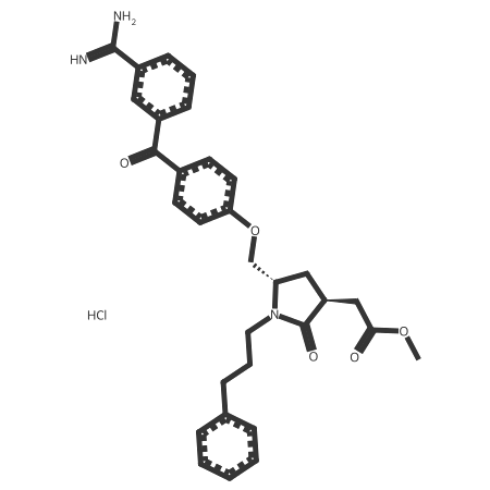 COC(=O)C[C@@H]1C[C@@H](COc2ccc(C(=O)c3cccc(C(=N)N)c3)cc2)N(CCCc2ccccc2)C1=O.Cl